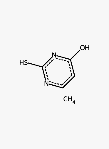 C.Oc1ccnc(S)n1